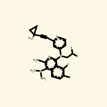 CN(N)c1c(N)nc(N(CC(F)F)c2ccnc(C#CC3(C)CC3)c2)c2c(F)c(F)ccc12